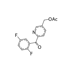 CC(=O)OCc1ccc(C(=O)c2cc(F)ccc2F)nc1